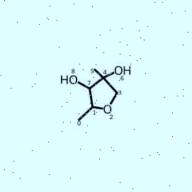 CC1OCC(C)(O)C1O